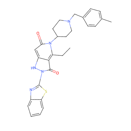 CCc1c2c(=O)n(-c3nc4ccccc4s3)[nH]c2cc(=O)n1C1CCN(Cc2ccc(C)cc2)CC1